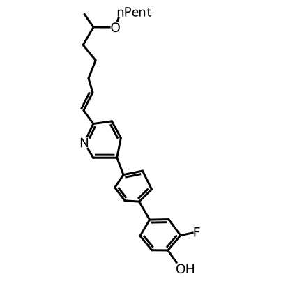 CCCCCOC(C)CCCC=Cc1ccc(-c2ccc(-c3ccc(O)c(F)c3)cc2)cn1